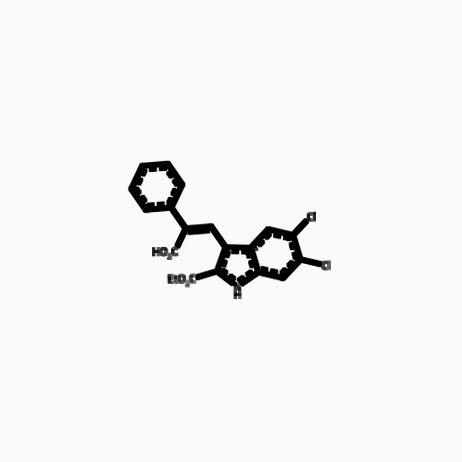 CCOC(=O)c1[nH]c2cc(Cl)c(Cl)cc2c1/C=C(\C(=O)O)c1ccccc1